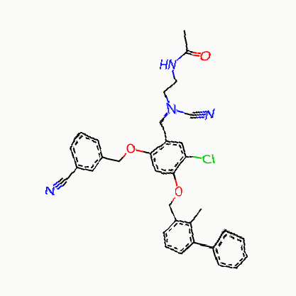 CC(=O)NCCN(C#N)Cc1cc(Cl)c(OCc2cccc(-c3ccccc3)c2C)cc1OCc1cccc(C#N)c1